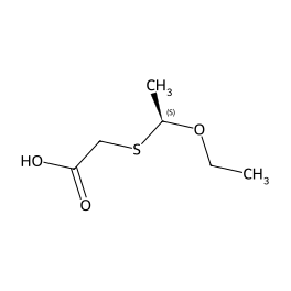 CCO[C@H](C)SCC(=O)O